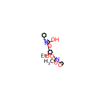 CCOc1cc(COc2nn(Cc3ccccc3)cc2CO)ccc1OCc1nc(-c2ccco2)oc1C